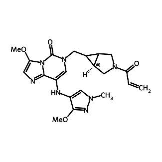 C=CC(=O)N1CC2C(Cn3cc(Nc4cn(C)nc4OC)c4ncc(OC)n4c3=O)[C@@H]2C1